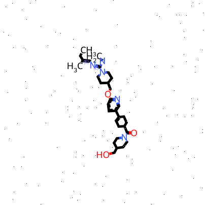 C=N/C(=N\C=C(/C)CC)N1CCC(COc2ccc(C3=CCC(C(=O)N4CCC(CO)CC4)CC3)cn2)CC1